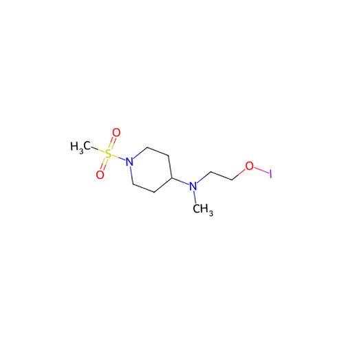 CN(CCOI)C1CCN(S(C)(=O)=O)CC1